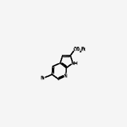 CCOC(=O)c1cc2cc(Br)cnc2[nH]1